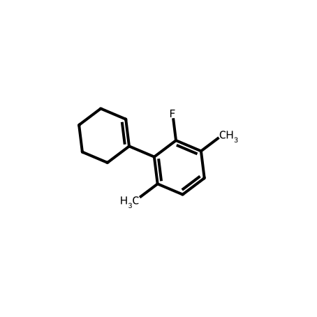 Cc1ccc(C)c(C2=CCCCC2)c1F